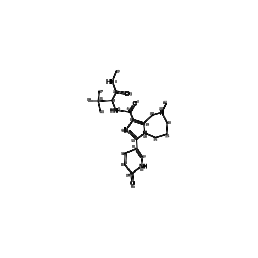 CNC(=O)C(NC(=O)c1nc(-c2ccc(=O)[nH]c2)n2c1CN(C)CCC2)C(C)(C)C